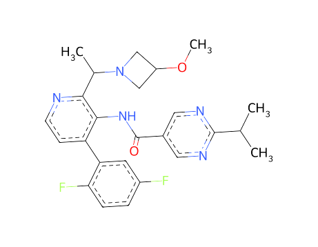 COC1CN(C(C)c2nccc(-c3cc(F)ccc3F)c2NC(=O)c2cnc(C(C)C)nc2)C1